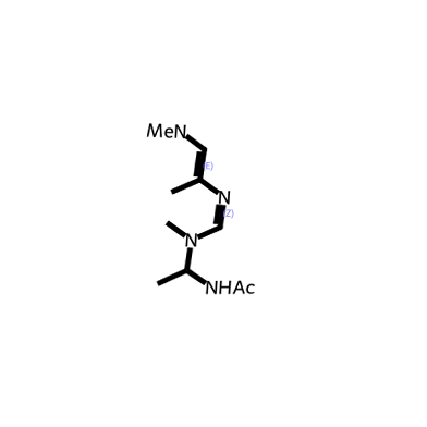 CN/C=C(C)/N=C\N(C)C(C)NC(C)=O